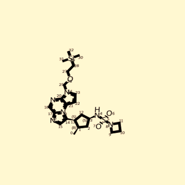 C[C@@H]1C[C@H](NS(=O)(=O)N2CCC2)C[C@@H]1c1cnc2cnc3c(ccn3COCC[Si](C)(C)C)n12